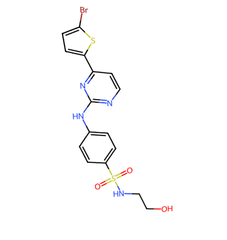 O=S(=O)(NCCO)c1ccc(Nc2nccc(-c3ccc(Br)s3)n2)cc1